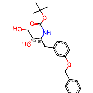 CC(C)(C)OC(=O)N[C@@H](Cc1cccc(OCc2ccccc2)c1)[C@H](O)CO